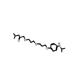 CC(C)CC(=O)COCCCOCCCOc1ccc(NC(C)C)cc1